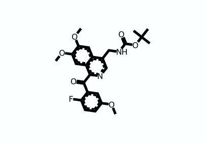 COc1ccc(F)c(C(=O)c2ncc(CNC(=O)OC(C)(C)C)c3cc(OC)c(OC)cc23)c1